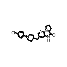 O=C1Nc2cc(CC3CCN(c4ccc(Cl)cc4)CC3)cnc2N2CCCC12